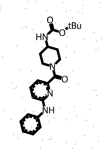 CC(C)(C)OC(=O)NC1CCN(C(=O)c2cccc(Nc3ccccc3)n2)CC1